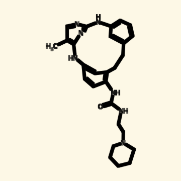 Cc1cnc2nc1Nc1ccc(NC(=O)NCCN3CCCCC3)c(c1)CCc1cccc(c1)N2